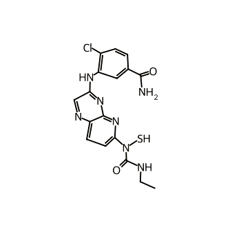 CCNC(=O)N(S)c1ccc2ncc(Nc3cc(C(N)=O)ccc3Cl)nc2n1